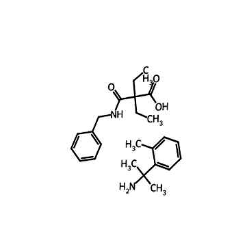 CCC(CC)(C(=O)O)C(=O)NCc1ccccc1.Cc1ccccc1C(C)(C)N